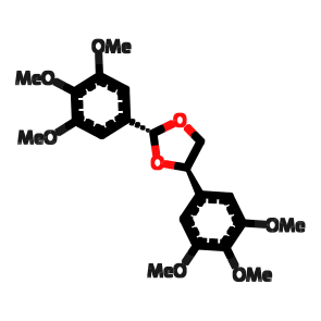 COc1cc([C@@H]2OC[C@@H](c3cc(OC)c(OC)c(OC)c3)O2)cc(OC)c1OC